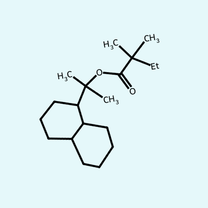 CCC(C)(C)C(=O)OC(C)(C)C1CCCC2CCCCC21